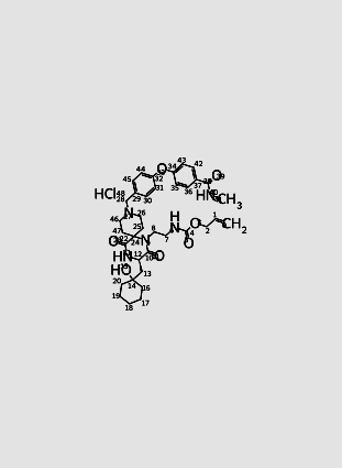 C=CCOC(=O)NCCN1C(=O)[C@@H](CC2(O)CCCCC2)NC(=O)C12CCN(Cc1ccc(Oc3ccc(C(=O)NC)cc3)cc1)CC2.Cl